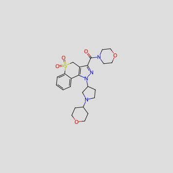 O=C(c1nn(C2CCN(C3CCOCC3)C2)c2c1CS(=O)(=O)c1ccccc1-2)N1CCOCC1